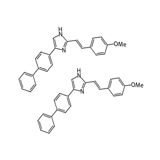 COc1ccc(C=Cc2nc(-c3ccc(-c4ccccc4)cc3)c[nH]2)cc1.COc1ccc(C=Cc2nc(-c3ccc(-c4ccccc4)cc3)c[nH]2)cc1